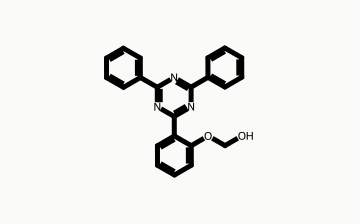 OCOc1ccccc1-c1nc(-c2ccccc2)nc(-c2ccccc2)n1